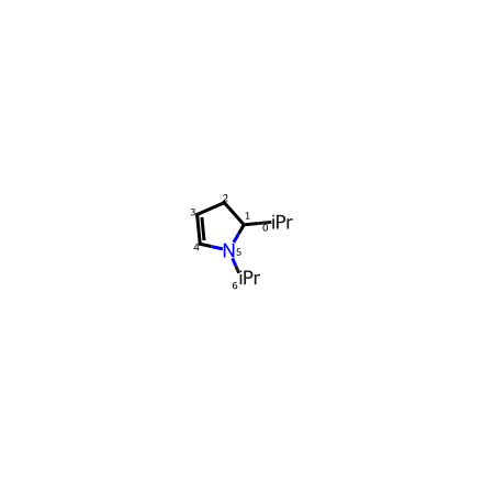 CC(C)C1CC=CN1C(C)C